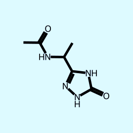 CC(=O)NC(C)c1n[nH]c(=O)[nH]1